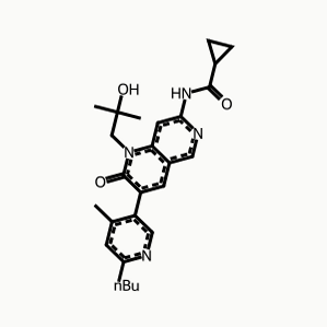 CCCCc1cc(C)c(-c2cc3cnc(NC(=O)C4CC4)cc3n(CC(C)(C)O)c2=O)cn1